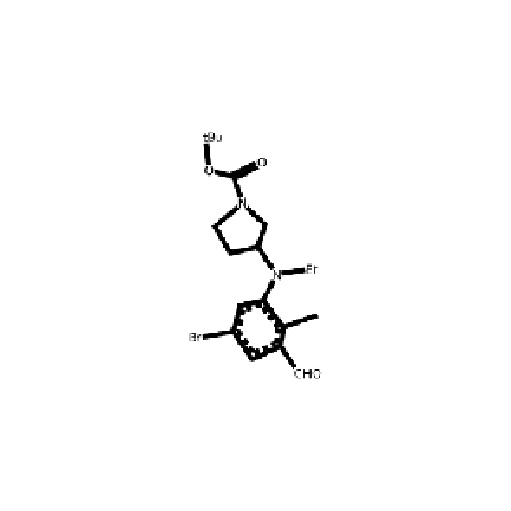 CCN(c1cc(Br)cc(C=O)c1C)C1CCN(C(=O)OC(C)(C)C)C1